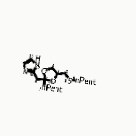 CCCCCSCC1COC(CCCCC)(Cc2ncc[nH]2)O1